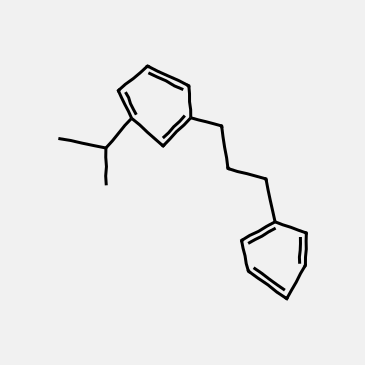 CC(C)c1cccc(CCCc2ccccc2)c1